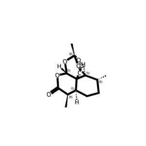 C[C@@H]1CC[C@H]2[C@@H](C)C(=O)O[C@@H]3O[C@@]4(C)CC[C@@H]1C32COO4